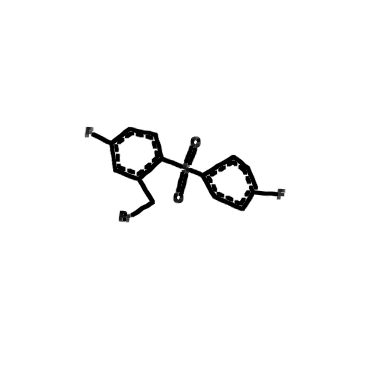 O=S(=O)(c1ccc(F)cc1)c1ccc(F)cc1CBr